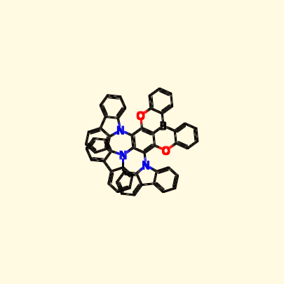 c1ccc2c(c1)Oc1c3c(c(-n4c5ccccc5c5ccccc54)c(-n4c5ccccc5c5ccccc54)c1-n1c4ccccc4c4ccccc41)Oc1ccccc1B23